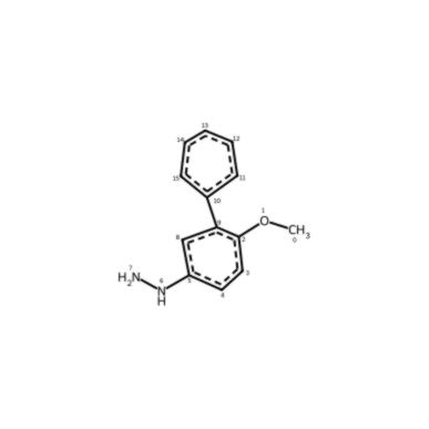 COc1ccc(NN)cc1-c1ccccc1